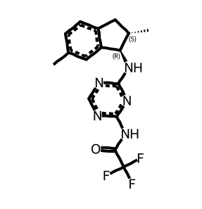 Cc1ccc2c(c1)[C@H](Nc1ncnc(NC(=O)C(F)(F)F)n1)[C@@H](C)C2